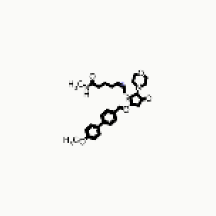 CNC(=O)CCC/C=C\C[C@H]1[C@@H](OCc2ccc(-c3ccc(OC)cc3)cc2)CC(=O)[C@@H]1N1CCOCC1